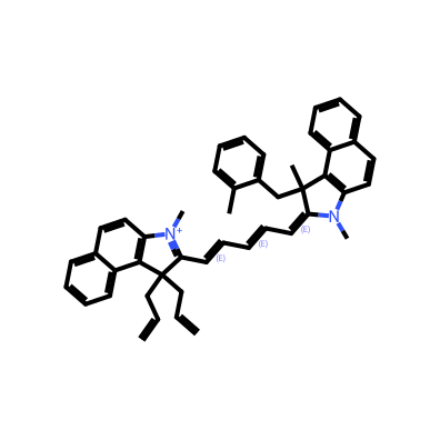 C=CCC1(CC=C)C(/C=C/C=C/C=C2/N(C)c3ccc4ccccc4c3C2(C)Cc2ccccc2C)=[N+](C)c2ccc3ccccc3c21